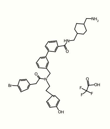 NCC1CCC(CNC(=O)c2cccc(-c3cccc(CN(CCc4ccc(O)cc4)C(=O)Cc4ccc(Br)cc4)c3)c2)CC1.O=C(O)C(F)(F)F